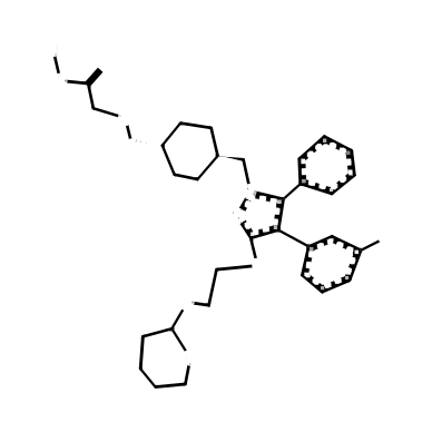 Cc1cccc(-c2c(SCCOC3CCCCO3)nn(C[C@H]3CC[C@H](COCC(=O)OC(C)(C)C)CC3)c2-c2ccccc2)c1